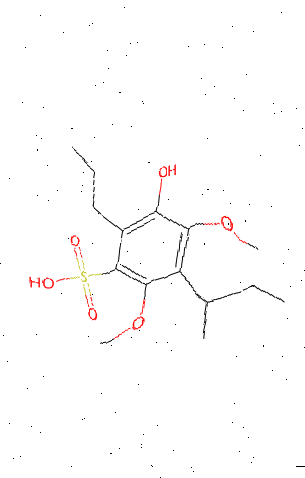 CCCc1c(O)c(OC)c(C(C)CC)c(OC)c1S(=O)(=O)O